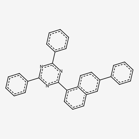 c1ccc(-c2ccc3c(-c4nc(-c5ccccc5)nc(-c5ccccc5)n4)cccc3c2)cc1